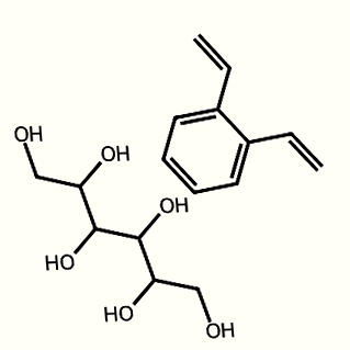 C=Cc1ccccc1C=C.OCC(O)C(O)C(O)C(O)CO